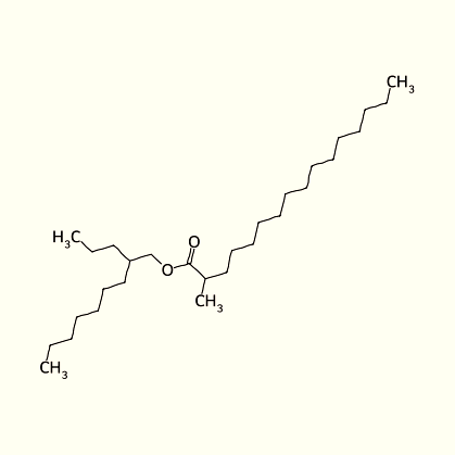 CCCCCCCCCCCCCCC(C)C(=O)OCC(CCC)CCCCCCC